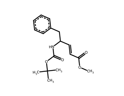 COC(=O)C=CC(Cc1ccccc1)NC(=O)OC(C)(C)C